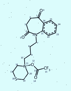 O=C1CCC(=O)N(CCCC[N+]2(OC(=O)C(F)(F)F)CCSCC2)c2ccccc21